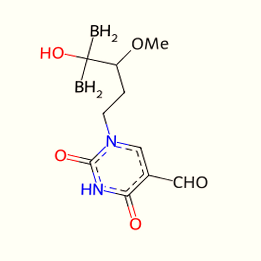 BC(B)(O)C(CCn1cc(C=O)c(=O)[nH]c1=O)OC